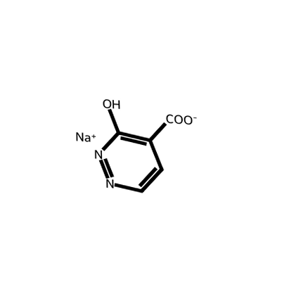 O=C([O-])c1ccnnc1O.[Na+]